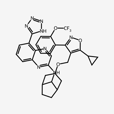 FC(F)(F)Oc1ccccc1-c1noc(C2CC2)c1COC1CC2CCC(C1)C2Nc1cnc2c(-c3nnn[nH]3)cccc2n1